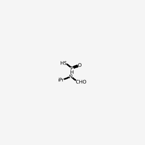 CC(C)N(C=O)[PH](=O)S